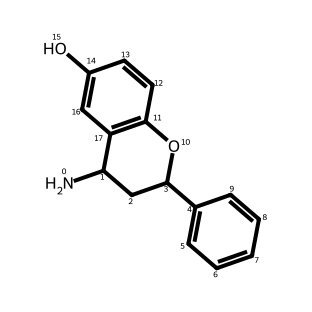 NC1CC(c2ccccc2)Oc2ccc(O)cc21